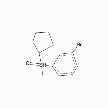 C[SH](=O)(c1cccc(Br)c1)C1CCCC1